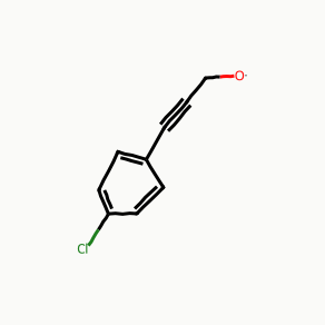 [O]CC#Cc1ccc(Cl)cc1